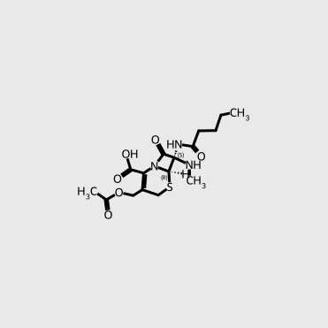 CCCCC(=O)N[C@@]1(NC)C(=O)N2C(C(=O)O)=C(COC(C)=O)CS[C@@H]21